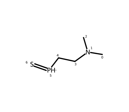 CN(C)CC[PH]=S